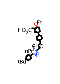 CCCN(C=O)/C(CCCc1ccc(-c2ccc(OCC)c(CC(=O)O)c2)cc1)=N\N(C)Cc1ccc(C(C)(C)C)cc1